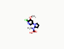 COc1cc(N2CCCC2N(C)C(=O)O)cnc1Cl